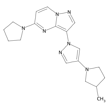 CC1CCN(c2cnn(-c3cnn4ccc(N5CCCC5)nc34)c2)C1